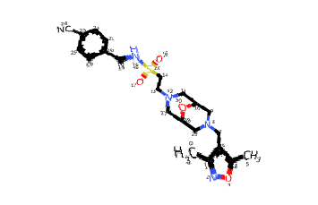 Cc1noc(C)c1CN1CC2CN(CCS(=O)(=O)NCc3ccc(C#N)cc3)CC(C1)O2